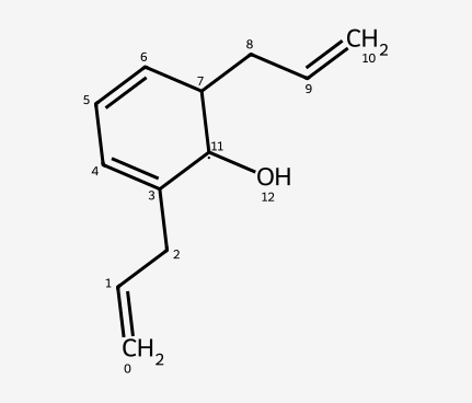 C=CCC1=CC=CC(CC=C)[C]1O